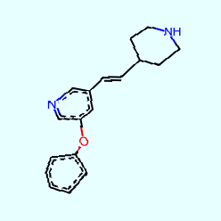 C(=CC1CCNCC1)c1cncc(Oc2ccccc2)c1